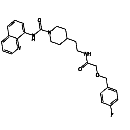 O=C(COCc1ccc(F)cc1)NCCC1CCN(C(=O)Nc2cccc3cccnc23)CC1